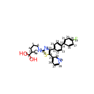 OC(O)C1CCCN(c2nc(-c3ccc(-c4ccc(F)cc4)cc3)c(-c3cccnc3)s2)C1